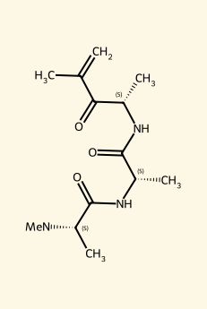 C=C(C)C(=O)[C@H](C)NC(=O)[C@H](C)NC(=O)[C@H](C)NC